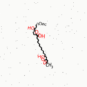 CCCCCCCCCCCC[C@H](O)[C@@H]1CC[C@H]([C@H](O)CCCCCCCCCC[C@@H](O)CC2=C[C@H](C)OC2=O)O1